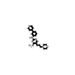 Nc1nc(Nc2cccc(-c3ccncc3)c2)ncc1CCCN1CCOCC1